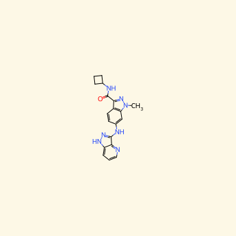 Cn1nc(C(=O)NC2CCC2)c2ccc(Nc3n[nH]c4cccnc34)cc21